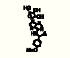 COc1ccc(C(Nc2ncnc3c2ncn3[C@@H]2O[C@H](CO)C(O)C2O)C2CC2)cc1